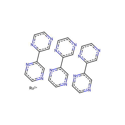 [Ru+2].c1cnc(-c2cnccn2)cn1.c1cnc(-c2cnccn2)cn1.c1cnc(-c2cnccn2)cn1